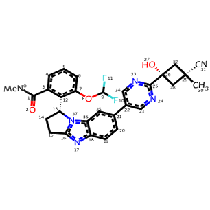 CNC(=O)c1cccc(OC(F)F)c1[C@H]1CCc2nc3ccc(-c4cnc([C@]5(O)C[C@@](C)(C#N)C5)nc4)cc3n21